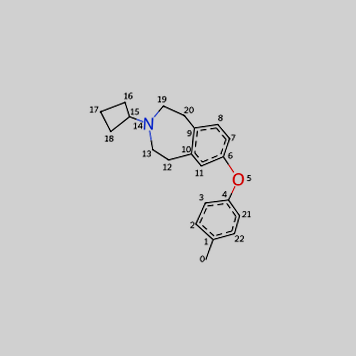 Cc1ccc(Oc2ccc3c(c2)CCN(C2CCC2)CC3)cc1